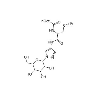 [CH2][CH]CSC[C@@H](NC(=O)CCCCCCCC)C(=O)Nc1cn(C2OC(CO)C(O)C(O)C2O)nn1